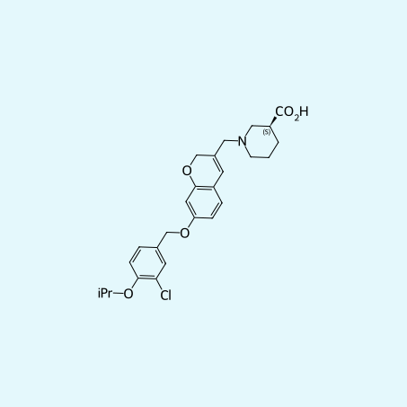 CC(C)Oc1ccc(COc2ccc3c(c2)OCC(CN2CCC[C@H](C(=O)O)C2)=C3)cc1Cl